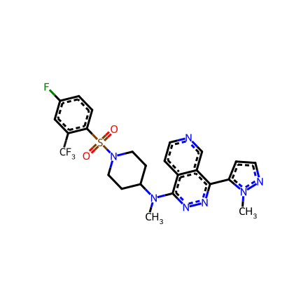 CN(c1nnc(-c2ccnn2C)c2cnccc12)C1CCN(S(=O)(=O)c2ccc(F)cc2C(F)(F)F)CC1